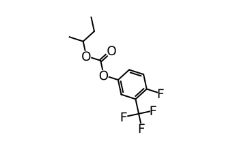 CCC(C)OC(=O)Oc1ccc(F)c(C(F)(F)F)c1